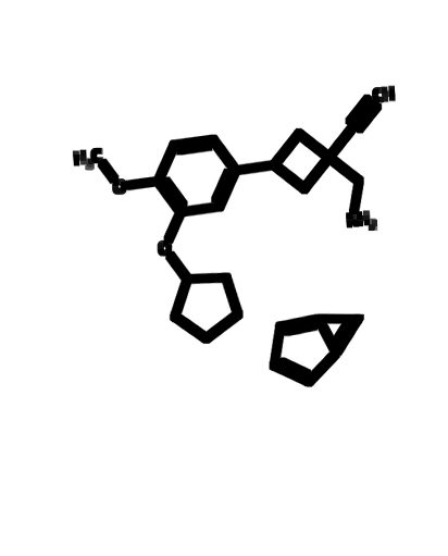 C#CC1(CN)CC(c2ccc(OC)c(OC3CCCC3)c2)C1.c1cc2cc-2c1